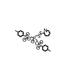 Cc1ccc(S(=O)(=O)OCP(=O)(COS(=O)(=O)c2ccc(C)cc2)CSSc2ccccn2)cc1